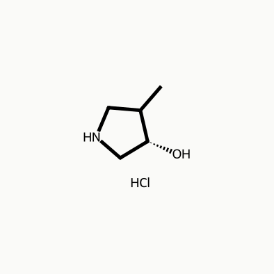 CC1CNC[C@H]1O.Cl